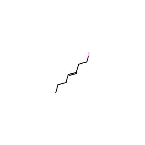 CCCC=CCCI